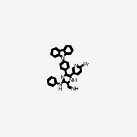 CC(C)c1ccc(C2=C(c3ccc(-n4c5ccccc5c5ccccc54)cc3)N=C(Nc3ccccc3)C(C=N)N2)cn1